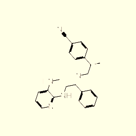 C[C@@H](CN[C@H](c1ccccc1)[C@H]1CNc2cccnc2N1)c1ccc(C#N)cc1